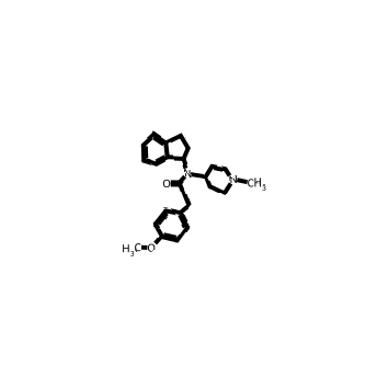 COc1ccc(CC(=O)N(C2CCN(C)CC2)C2CCc3ccccc32)cc1